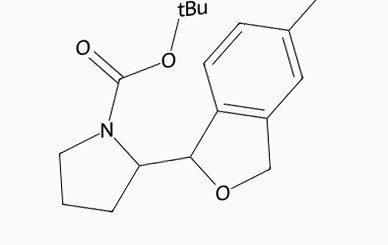 CC(C)(C)OC(=O)N1CCCC1C1OCc2cc(F)ccc21